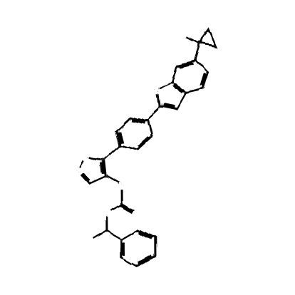 CC(OC(=O)Nc1cnoc1-c1ccc(-c2cc3ccc(C4(C(=O)O)CC4)cc3[nH]2)cc1)c1ccccc1